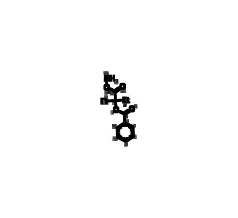 CCC(CC)(OC(=O)c1ccccc1)C(=O)O[SiH3]